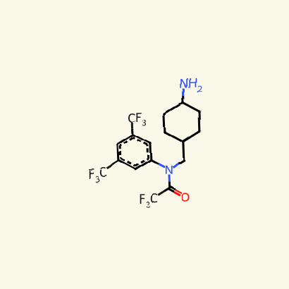 NC1CCC(CN(C(=O)C(F)(F)F)c2cc(C(F)(F)F)cc(C(F)(F)F)c2)CC1